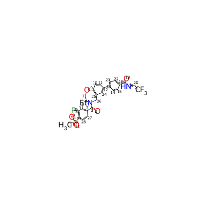 CCc1c(C(=O)N2CCOc3ccc(-c4ccc(C(=O)NCC(F)(F)F)cc4)cc3C2)ccc(S(C)(=O)=O)c1F